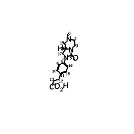 CN1CCN2C(=O)N(c3ccc(CCC(=O)O)cc3)C[C@@H]2C1